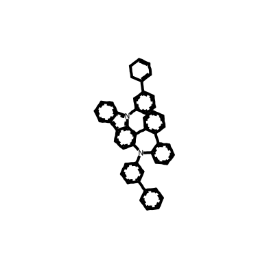 C1=CCCC(c2cccc(-n3c4ccccc4c4ccc5c(c43)-c3ccccc3-c3ccccc3N5c3cccc(-c4ccccc4)c3)c2)=C1